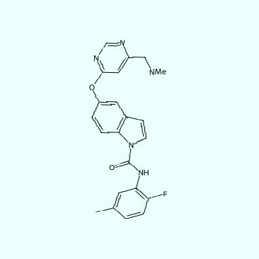 CNCc1cc(Oc2ccc3c(ccn3C(=O)Nc3cc(C)ccc3F)c2)ncn1